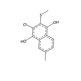 CSc1c(Cl)c(O)c2cc(C)ccc2c1O